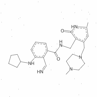 Cc1cc(CN2CCN(C)CC2)c(CNC(=O)c2cccc(NC3CCCC3)c2C=N)c(=O)[nH]1